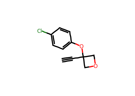 C#CC1(Oc2ccc(Cl)cc2)COC1